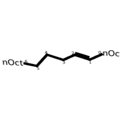 [CH2]CCCCCCCC=CCCCCCCCCCCC